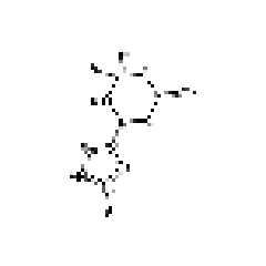 Cn1cc(C2CC(=O)CC(C)(C)O2)cn1